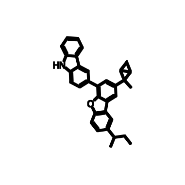 CCC(C)c1ccc2oc3c(-c4ccc5[nH]c6ccccc6c5c4)cc(C4(C)C5CC54)cc3c2c1